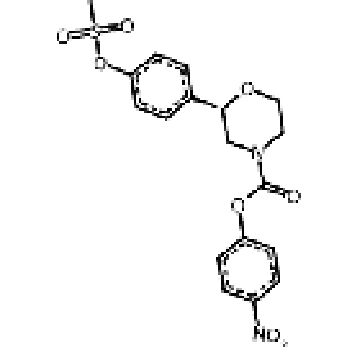 CS(=O)(=O)Oc1ccc([C@@H]2CN(C(=O)Oc3ccc([N+](=O)[O-])cc3)CCO2)cc1